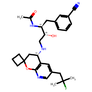 CC(=O)N[C@@H](Cc1cccc(C#N)c1)[C@H](O)CN[C@H]1CC2(CCC2)Oc2ncc(CC(C)(C)F)cc21